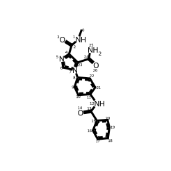 CNC(=O)c1ncn(-c2ccc(NC(=O)c3ccccc3)cc2)c1C(N)=O